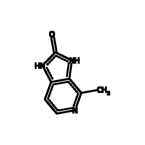 Cc1nccc2[nH]c(=O)[nH]c12